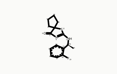 C[C@H](NC1=NC(=O)C2(CCCC2)S1)c1ccccc1F